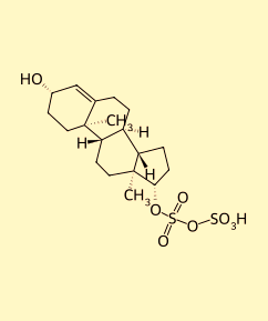 C[C@]12CC[C@H]3[C@@H](CCC4=C[C@@H](O)CC[C@@]43C)[C@@H]1CC[C@@H]2OS(=O)(=O)OS(=O)(=O)O